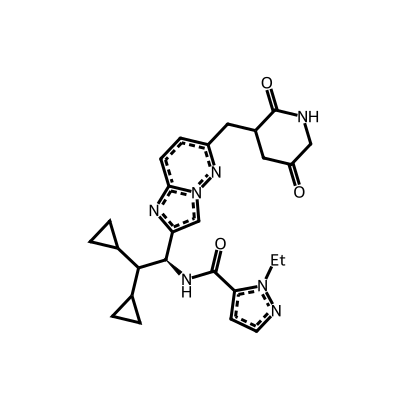 CCn1nccc1C(=O)N[C@H](c1cn2nc(CC3CC(=O)CNC3=O)ccc2n1)C(C1CC1)C1CC1